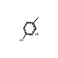 I.Oc1ccc(I)cc1